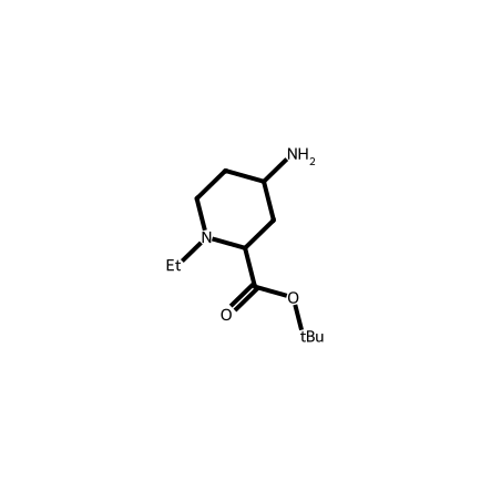 CCN1CCC(N)CC1C(=O)OC(C)(C)C